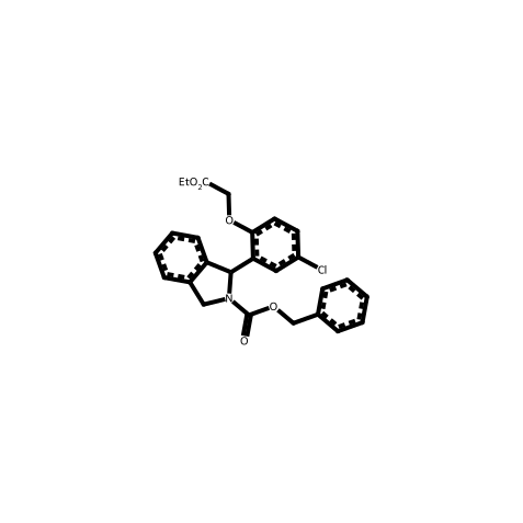 CCOC(=O)COc1ccc(Cl)cc1C1c2ccccc2CN1C(=O)OCc1ccccc1